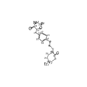 CCN1CCC(=O)N(CCCc2ccc(CC(OC(C)C)C(N)=O)cc2)CC1